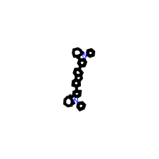 CC12CCCCCC1(C)N(c1ccccc1)c1ccc(-c3ccc4c(c3)Cc3cc(-c5ccc6c(c5)C5(C)CCCCCC5(C)N6c5ccccc5)ccc3-4)cc12